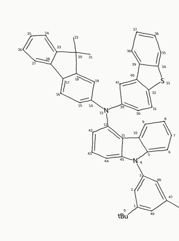 CC(C)(C)c1cc(-n2c3ccccc3c3c(N(c4ccc5c(c4)C(C)(C)c4ccccc4-5)c4ccc5sc6ccccc6c5c4)cccc32)cc(C(C)(C)C)c1